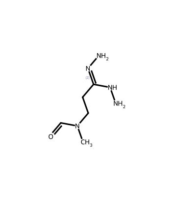 CN(C=O)CC/C(=N/N)NN